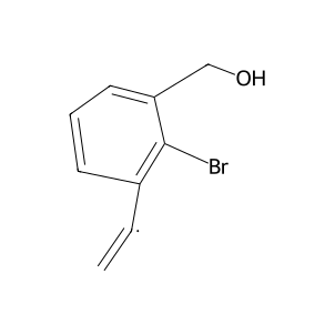 C=[C]c1cccc(CO)c1Br